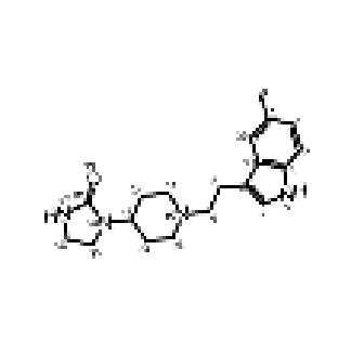 Cc1ccc2[nH]cc(CCN3CCC(N4CCNC4=O)CC3)c2c1